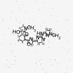 CN1CC[C@@](O)(c2cccc(-c3nc(-c4ccnc(Nc5ccn(C)n5)n4)co3)c2)C1=O